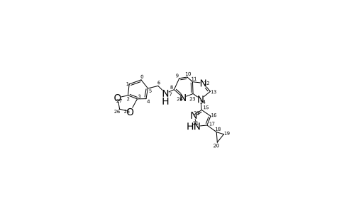 c1cc2c(cc1CNc1ccc3ncn(-c4cc(C5CC5)[nH]n4)c3n1)OCO2